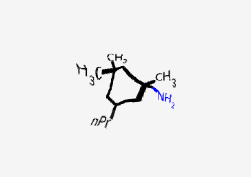 CCCC1CC(C)(C)CC(C)(N)C1